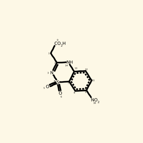 O=C(O)CC1=NS(=O)(=O)c2cc([N+](=O)[O-])ccc2N1